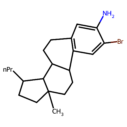 CCCC1CCC2(C)CCC3c4cc(Br)c(N)cc4CCC3C12